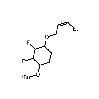 CC/C=C\COC1CCC(OCCCC)C(F)C1F